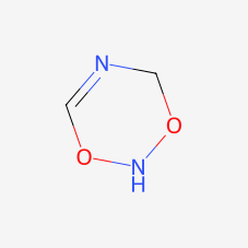 C1=NCONO1